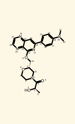 C[C@@H](O)C(=O)N1CCO[C@H](COc2nc(-c3ccc(N(C)C)cc3)cc3nccnc23)C1